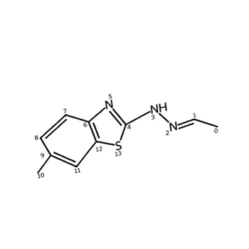 CC=NNc1nc2ccc(C)cc2s1